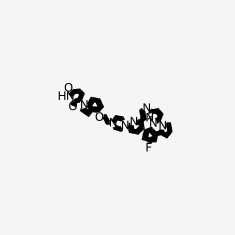 O=C1CCC(n2ccc3c(OCCN4CCN(c5cccc(-c6cnc7ccc(N8CCCC8c8cccc(F)c8)nn67)n5)CC4)cccc32)C(=O)N1